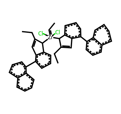 C[CH]=[Zr]([Cl])([Cl])([CH]1C(CC)=Cc2c(-c3cccc4ccccc34)cccc21)[CH]1C(CC)=Cc2c(-c3cccc4ccccc34)cccc21